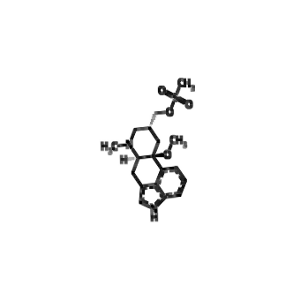 CO[C@]12C[C@@H](COS(C)(=O)=O)CN(C)[C@@H]1Cc1c[nH]c3cccc2c13